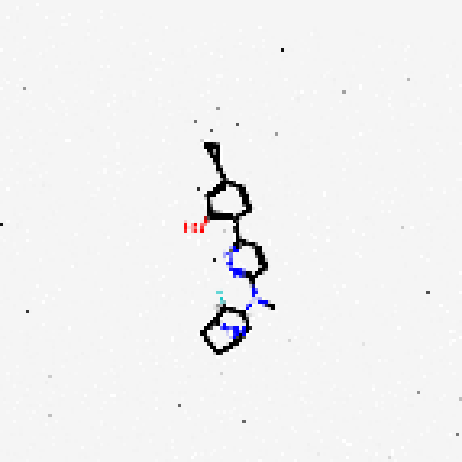 CN(c1ccc(-c2ccc(C3CC3)cc2O)nn1)[C@H]1CC2CCC(N2)[C@H]1F